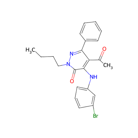 CCCCn1nc(-c2ccccc2)c(C(C)=O)c(Nc2cccc(Br)c2)c1=O